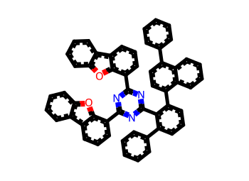 c1ccc(-c2cccc(-c3ccc(-c4ccccc4)c4ccccc34)c2-c2nc(-c3cccc4c3oc3ccccc34)nc(-c3cccc4c3oc3ccccc34)n2)cc1